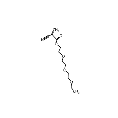 C=C(C#N)C(=O)OCCOCCOCCOCC